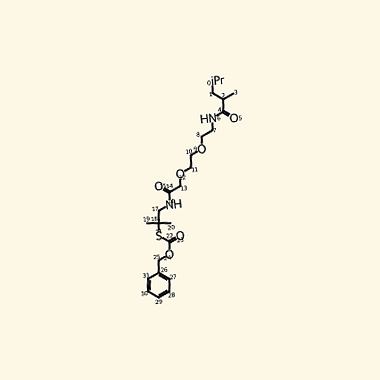 CC(C)CC(C)C(=O)NCCOCCOCC(=O)NCC(C)(C)SC(=O)OCc1ccccc1